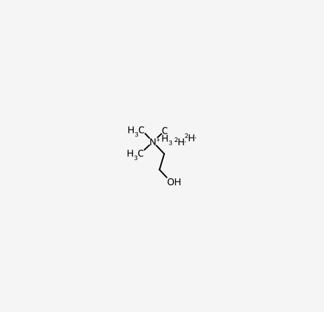 C[N+](C)(C)CCO.[2H].[2H]